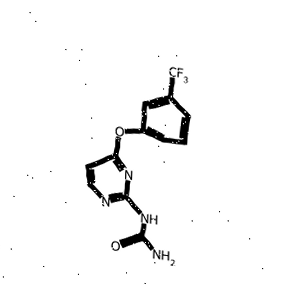 NC(=O)Nc1nccc(Oc2cccc(C(F)(F)F)c2)n1